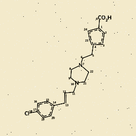 O=C(O)c1ccc(CCN2CCN(CC=Cc3ccc(Cl)cc3)CC2)cc1